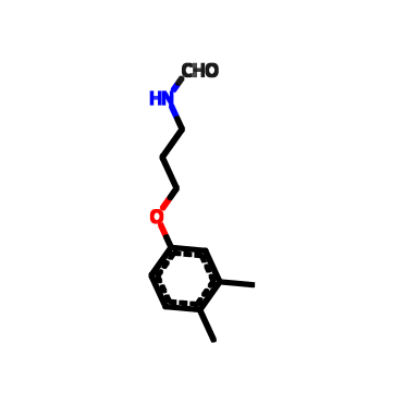 Cc1ccc(OCCCNC=O)cc1C